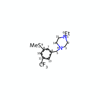 CCN1CCN(Cc2cc(SC)cc(C(F)(F)F)c2)CC1